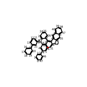 c1ccc(-c2cccc(N(c3cccc(-c4ccccc4)c3)c3ccccc3-c3cccc4oc5cc6ccccc6cc5c34)c2)cc1